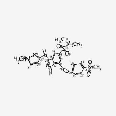 CC(C)S(=O)(=O)c1cc(Oc2ccc(S(C)(=O)=O)cc2)c2[nH]nc(Nc3ccn(C)n3)c2c1